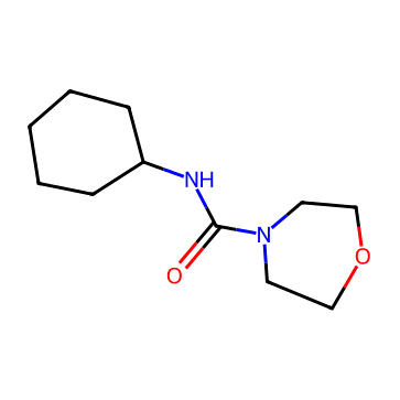 O=C(NC1CCCCC1)N1CCOCC1